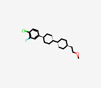 COCC[C@H]1CC[C@H]([C@H]2CC[C@H](c3ccc(Cl)c(F)c3)CC2)CC1